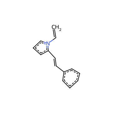 C=Cn1cccc1C=Cc1ccccc1